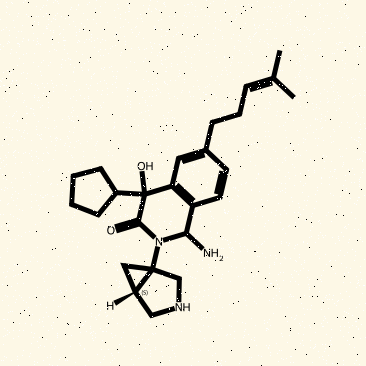 CC(C)=CCCc1ccc2c(c1)C(O)(C1CCCC1)C(=O)N(C13CNC[C@@H]1C3)C2N